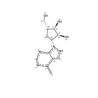 O=c1ncnc2n([C@@H]3O[C@H](CO)[C@@H](O)[C@H]3O)[nH]cc1-2